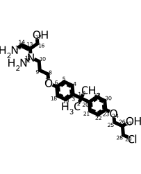 CC(C)(c1ccc(OCCCN(N)/C(=C\N)CO)cc1)c1ccc(OCC(O)CCl)cc1